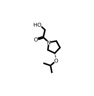 CC(C)O[C@H]1CCN(C(=O)CO)C1